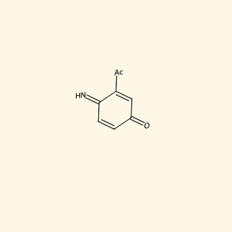 CC(=O)C1=CC(=O)C=CC1=N